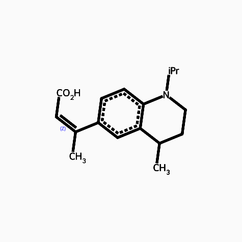 C/C(=C/C(=O)O)c1ccc2c(c1)C(C)CCN2C(C)C